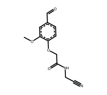 COc1cc(C=O)ccc1OCC(=O)NCC#N